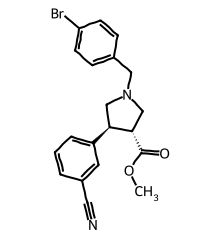 COC(=O)[C@H]1CN(Cc2ccc(Br)cc2)C[C@@H]1c1cccc(C#N)c1